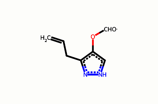 C=CCc1n[nH]cc1O[C]=O